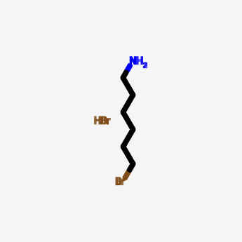 Br.NCCCCCCBr